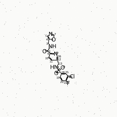 O=C(NCc1cnco1)c1ccc(CNS(=O)(=O)c2ccc(F)c(Cl)c2)cn1